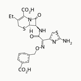 CCC1=C(C(=O)O)N2C(=O)[C@@H](NC(=O)/C(=N\OCc3cccc(C(=O)O)c3)c3csc(N)n3)[C@H]2SC1